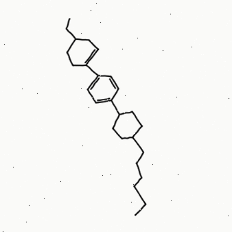 CCCCCCC1CCC(c2ccc(C3=CCC(CC)CC3)cc2)CC1